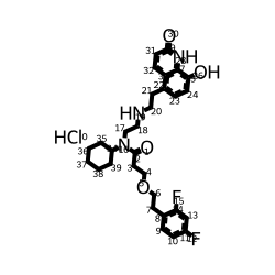 Cl.O=C(CCOCCc1ccc(F)cc1F)N(CCNCCc1ccc(O)c2[nH]c(=O)ccc12)C1CCCCC1